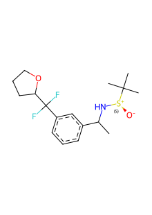 CC(N[S@+]([O-])C(C)(C)C)c1cccc(C(F)(F)C2CCCO2)c1